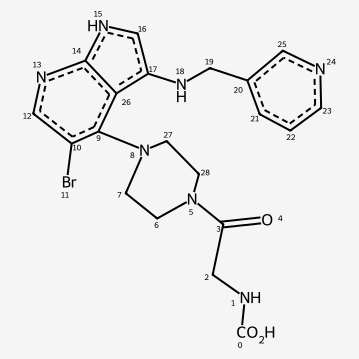 O=C(O)NCC(=O)N1CCN(c2c(Br)cnc3[nH]cc(NCc4cccnc4)c23)CC1